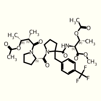 COC(=O)[C@@H](NC(=O)C1(Cc2ccc(C(F)(F)F)cc2)CCCN1C(=O)[C@@H]1CCCN1C(=O)[C@@H](C)[C@@H](C)OC(C)=O)[C@@H](C)OC(C)=O